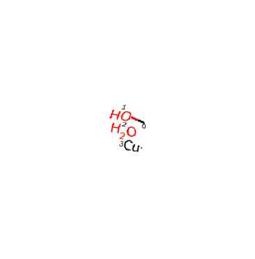 CO.O.[Cu]